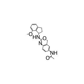 COc1cccc2c1C(NC1=Nc3ccc(NC(C)=O)cc3CO1)CC2